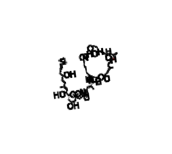 C=C1C[C@@H]2C[C@@H]3CCO[C@@H](O3)c3coc(n3)/C=C/C[C@H]3O[C@@H](/C(C)=C/c4coc(C[C@]5(O)C[C@H](O)C[C@H]([C@H](O)/C=C(C)/C=C/[C@H](O)CC#C[Si](C)(C)C)O5)n4)[C@H](C)[C@@H](OC(=O)/C=C\C[C@@H](C1)O2)[C@H]3C